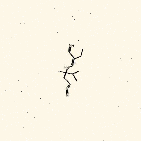 CC/C(C=N)=C/NC(C)(CN=[N+]=[N-])C(C)C